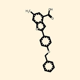 Cc1cc(C(=O)O)c2cc(-c3ccc(OCc4ccccc4)cc3)oc2c1